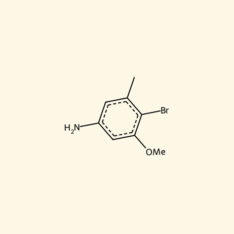 COc1cc(N)cc(C)c1Br